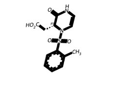 Cc1ccccc1S(=O)(=O)N1C=CNC(=O)[C@H]1CC(=O)O